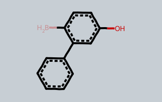 Bc1ccc(O)cc1-c1ccccc1